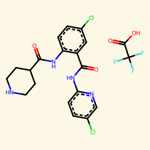 O=C(Nc1ccc(Cl)cn1)c1cc(Cl)ccc1NC(=O)C1CCNCC1.O=C(O)C(F)(F)F